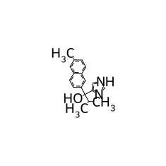 Cc1ccc2cc(C(O)(c3c[nH]cn3)C(C)C)ccc2c1